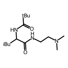 CCC(C)C(NC(=O)C(C)(C)C)C(=O)NCCN(C)C